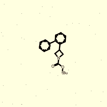 CC(C)(C)OC(=O)N1CC(c2ccccc2-c2ccccc2)C1